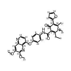 CCc1c(C(=O)Nc2ccc(Oc3ccnc4cc(OC)c(OC)nc34)cc2)c(=O)c(-c2ccco2)c(C)n1C